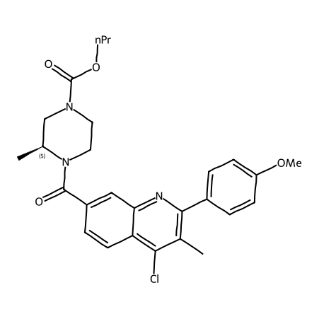 CCCOC(=O)N1CCN(C(=O)c2ccc3c(Cl)c(C)c(-c4ccc(OC)cc4)nc3c2)[C@@H](C)C1